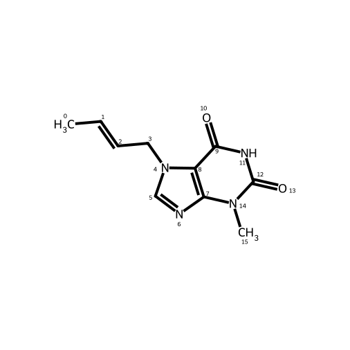 C/C=C/Cn1cnc2c1c(=O)[nH]c(=O)n2C